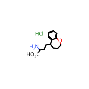 Cl.NC(CCC1CCCOc2ccccc21)C(=O)O